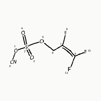 N#COS(=O)(=O)OCC(F)=C(F)F